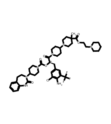 CC1(C(=O)OCCN2CCCCC2)CCN(C2CCN(C(=O)[C@@H](Cc3cc(Cl)c(N)c(C(F)(F)F)c3)OC(=O)N3CCC(N4CCc5ccccc5NC4=O)CC3)CC2)CC1